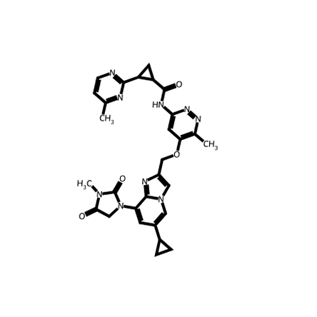 Cc1ccnc(C2CC2C(=O)Nc2cc(OCc3cn4cc(C5CC5)cc(N5CC(=O)N(C)C5=O)c4n3)c(C)nn2)n1